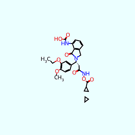 C1CC1.CCOc1cc([C@@H](CC(=O)NOC(=O)C2CC2)N2Cc3cccc(NC(=O)O)c3C2=O)ccc1OC